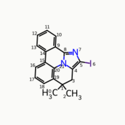 CC1(C)Cc2c(I)nc3c4ccccc4c4cccc1c4n23